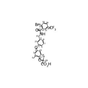 Cc1cc(Oc2cccc(CNC(=O)c3cc(C(F)(F)F)ccc3Br)c2)ccc1OC(C)(C)C(=O)O